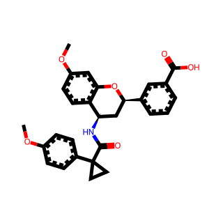 COc1ccc(C2(C(=O)N[C@@H]3C[C@H](c4cccc(C(=O)O)c4)Oc4cc(OC)ccc43)CC2)cc1